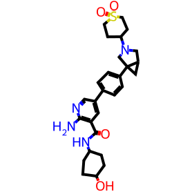 Nc1ncc(-c2ccc(C34CC3CN(C3CCS(=O)(=O)CC3)C4)cc2)cc1C(=O)NC1CCC(O)CC1